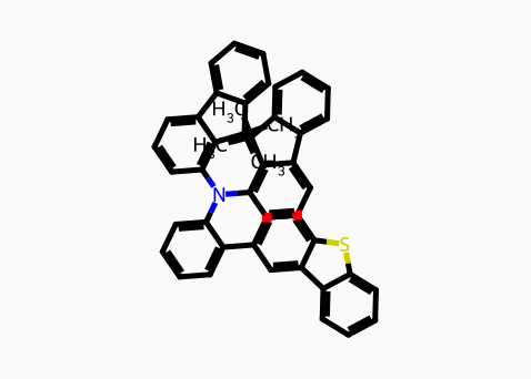 CC1(C)c2ccccc2-c2cccc(N(c3ccccc3-c3ccc4sc5ccccc5c4c3)c3cccc4c3C(C)(C)c3ccccc3-4)c21